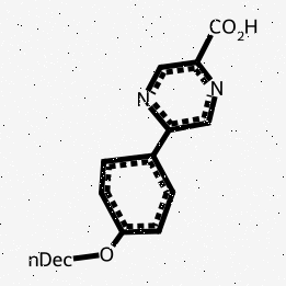 CCCCCCCCCCOc1ccc(-c2cnc(C(=O)O)cn2)cc1